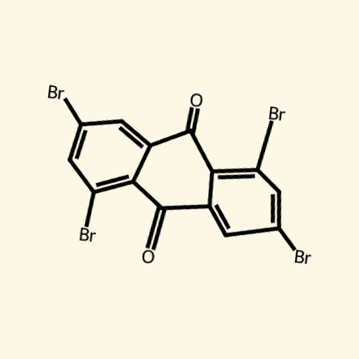 O=C1c2cc(Br)cc(Br)c2C(=O)c2cc(Br)cc(Br)c21